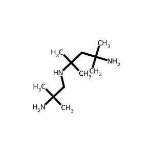 CC(C)(N)CNC(C)(C)CC(C)(C)N